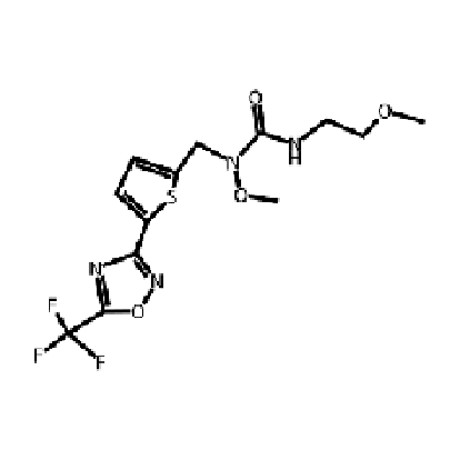 COCCNC(=O)N(Cc1ccc(-c2noc(C(F)(F)F)n2)s1)OC